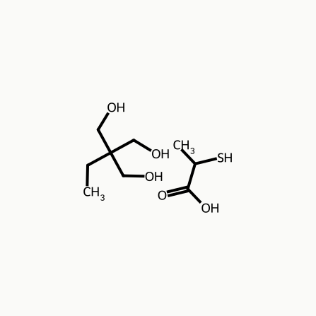 CC(S)C(=O)O.CCC(CO)(CO)CO